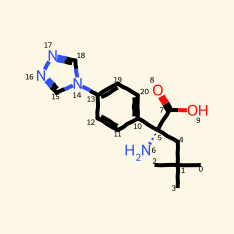 CC(C)(C)C[C@](N)(C(=O)O)c1ccc(-n2cnnc2)cc1